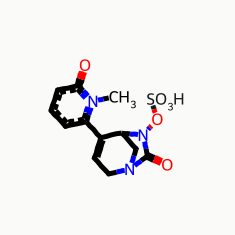 Cn1c(C2=CCN3CC2N(OS(=O)(=O)O)C3=O)cccc1=O